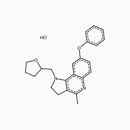 Cc1nc2ccc(Oc3ccccc3)cc2c2c1CCN2CC1CCCO1.Cl